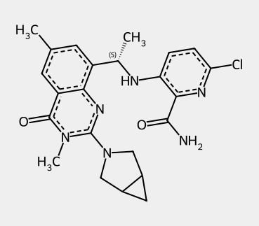 Cc1cc([C@H](C)Nc2ccc(Cl)nc2C(N)=O)c2nc(N3CC4CC4C3)n(C)c(=O)c2c1